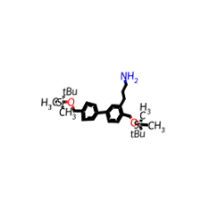 CC(C)(C)[Si](C)(C)OCc1ccc(-c2ccc(CO[Si](C)(C)C(C)(C)C)c(CCCN)c2)cc1